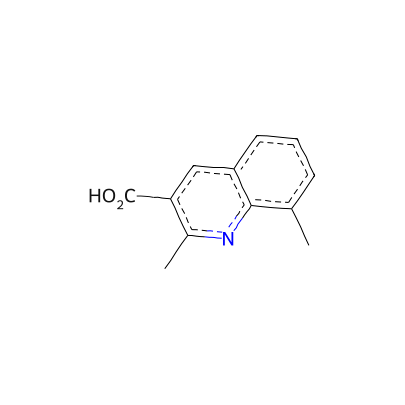 Cc1nc2c(C)cccc2cc1C(=O)O